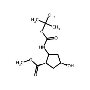 COC(=O)[C@@H]1C[C@H](O)CC1NC(=O)OC(C)(C)C